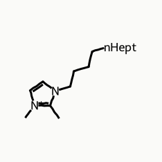 CCCCCCCCCCCn1cc[n+](C)c1C